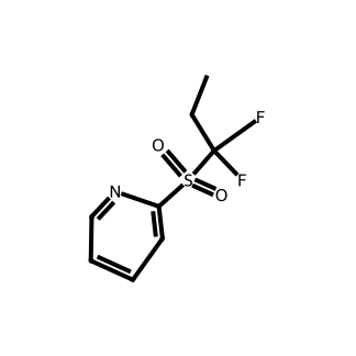 CCC(F)(F)S(=O)(=O)c1ccccn1